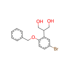 OCC(CO)c1cc(Br)ccc1OCc1ccccc1